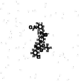 Cc1ccc(CN[S+]([O-])N2CCN(c3cnn(-c4cccc(Cl)c4)c(=O)c3OCC3(C)CC3)CC2)cc1[N+](=O)[O-]